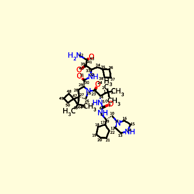 CC(C)(C)[C@H](NC(=O)N[C@H](CN1CCNCC1)C1CCCCC1)C(=O)N1C[C@]2(C[C@H]1C(=O)NC(CC1CCC1)C(=O)C(N)=O)C(C)(C)C21CCC1